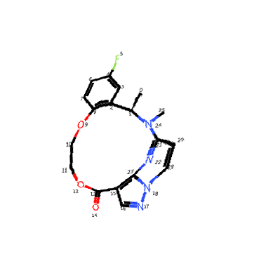 C[C@@H]1c2cc(F)ccc2OCCOC(=O)c2cnn3ccc(nc23)N1C